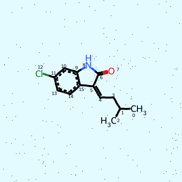 CC(C)CC=C1C(=O)Nc2cc(Cl)ccc21